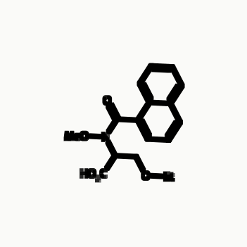 CCOCC(C(=O)O)N(OC)C(=O)c1cccc2ccccc12